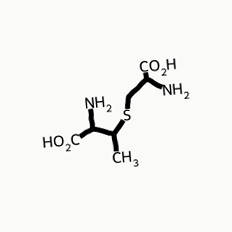 CC(SCC(N)C(=O)O)C(N)C(=O)O